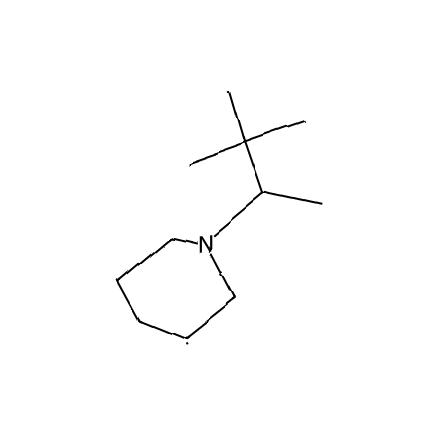 CC(N1C[CH]CCC1)C(C)(C)C